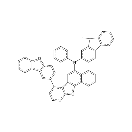 CC1(C)c2ccccc2-c2ccc(N(c3ccccc3)c3cc4c(oc5cccc(-c6ccc7oc8ccccc8c7c6)c54)c4ccccc34)cc21